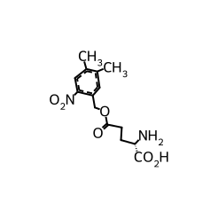 Cc1cc(COC(=O)CC[C@H](N)C(=O)O)c([N+](=O)[O-])cc1C